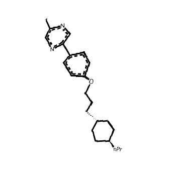 CCC[C@H]1CC[C@H](CCCOc2ccc(-c3cnc(C)cn3)cc2)CC1